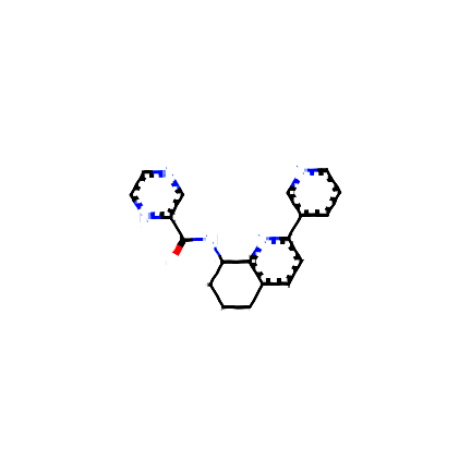 O=C(NC1CCCc2ccc(-c3cccnc3)nc21)c1cnccn1